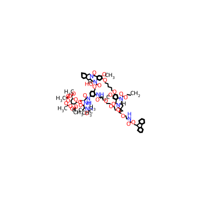 C=CCOC(=O)N1C[C@@H]2CC3(CC3)CN2C(=O)c2cc(OC)c(OCCCCCOc3cc4c(cc3OC)C(=O)N3Cc5ccccc5C[C@H]3[C@H](O)N4C(=O)OCc3ccc(NC(=O)[C@H](CO[C@@H]4O[C@H](C(=O)OC)[C@@H](OC(C)=O)[C@H](OC(C)=O)[C@H]4OC(C)=O)NC(=O)[C@@H](NC(C)=O)C(C)C)cc3NC(=O)CCOCCOCCOCCOCCNC(=O)OCC3c4ccccc4-c4ccccc43)cc21